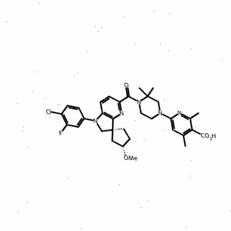 CO[C@H]1CC[C@]2(C1)CN(c1ccc(Cl)c(F)c1)c1ccc(C(=O)N3CCN(c4cc(C)c(C(=O)O)c(C)n4)CC3(C)C)nc12